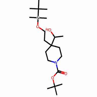 CC(O)C1(CCO[Si](C)(C)C(C)(C)C)CCN(C(=O)OC(C)(C)C)CC1